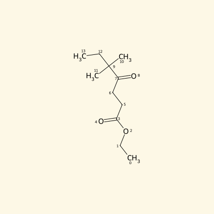 CCOC(=O)CCC(=O)C(C)(C)CC